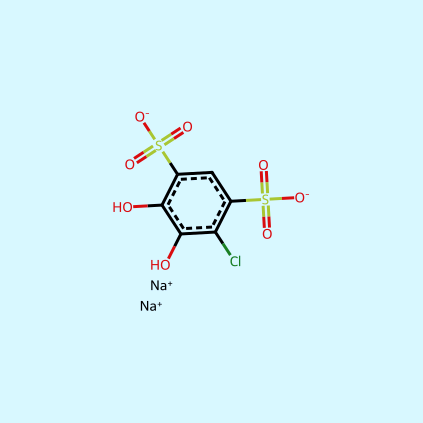 O=S(=O)([O-])c1cc(S(=O)(=O)[O-])c(Cl)c(O)c1O.[Na+].[Na+]